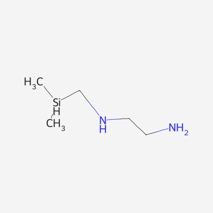 C[SiH](C)CNCCN